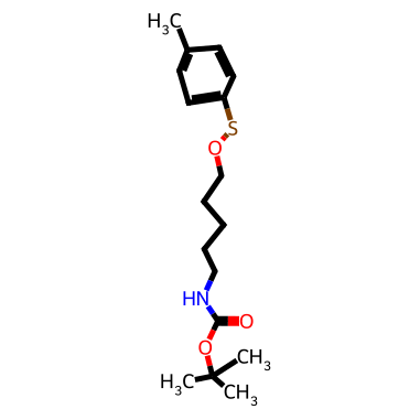 Cc1ccc(SOCCCCCNC(=O)OC(C)(C)C)cc1